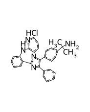 CC(C)(N)c1ccc(-c2c(-c3ccccc3)nc3n2-c2cccnc2Nc2ccccc2-3)cc1.Cl